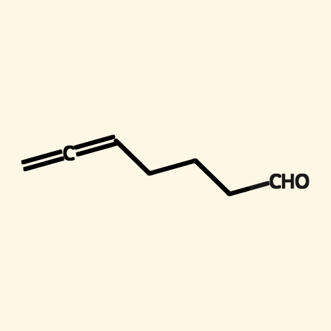 C=C=CCCCC=O